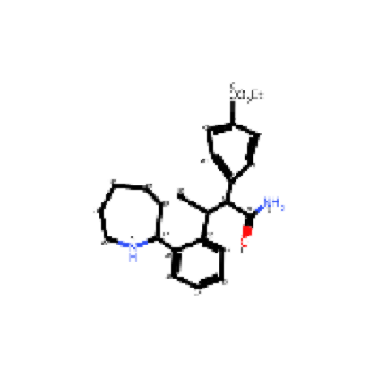 CCOC(=O)c1ccc(C(C(N)=O)C(C)c2ccccc2C2CCCCCN2)cc1